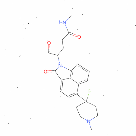 CNC(=O)CCC(C=O)N1C(=O)c2ccc(C3(F)CCN(C)CC3)c3cccc1c23